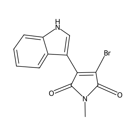 CN1C(=O)C(Br)=C(c2c[nH]c3ccccc23)C1=O